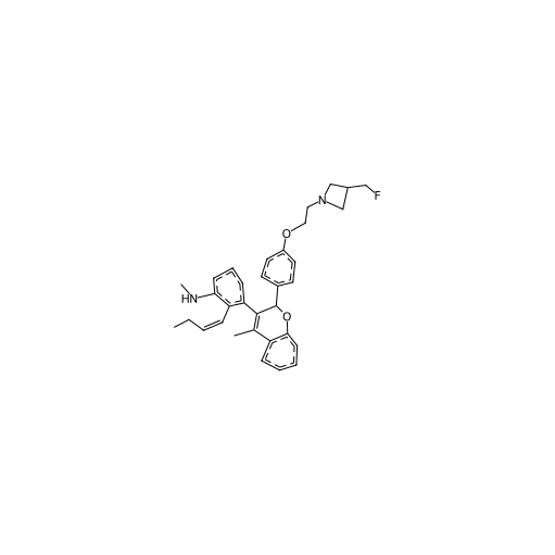 CC/C=C\c1c(NC)cccc1C1=C(C)c2ccccc2OC1c1ccc(OCCN2CC(CF)C2)cc1